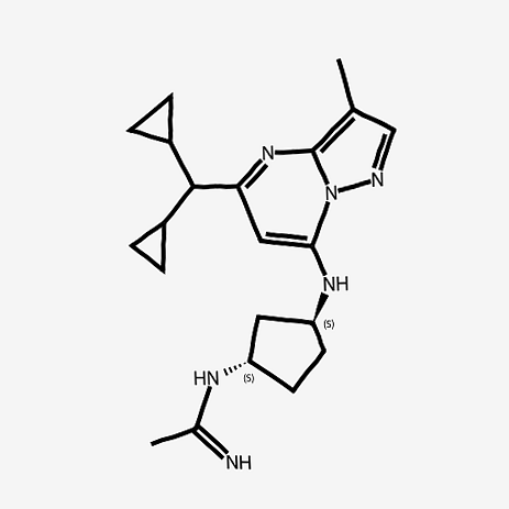 CC(=N)N[C@H]1CC[C@H](Nc2cc(C(C3CC3)C3CC3)nc3c(C)cnn23)C1